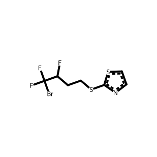 FC(CCSc1nccs1)C(F)(F)Br